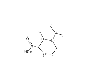 CC(C)N1CCOC(C(=O)O)C1C